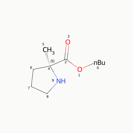 CCCCOC(=O)[C@]1(C)CCCN1